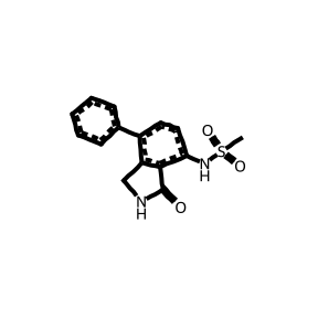 CS(=O)(=O)Nc1ccc(-c2ccccc2)c2c1C(=O)NC2